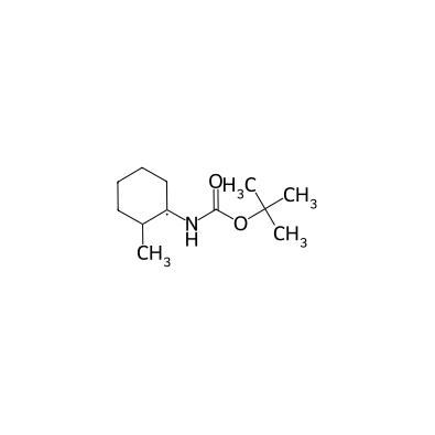 CC1CCCC[C]1NC(=O)OC(C)(C)C